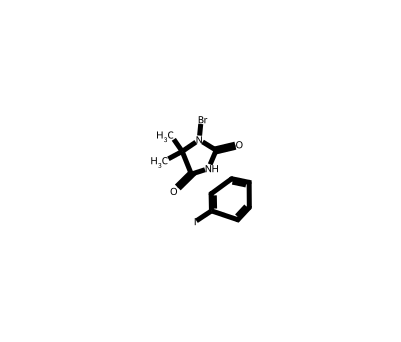 CC1(C)C(=O)NC(=O)N1Br.Ic1ccccc1